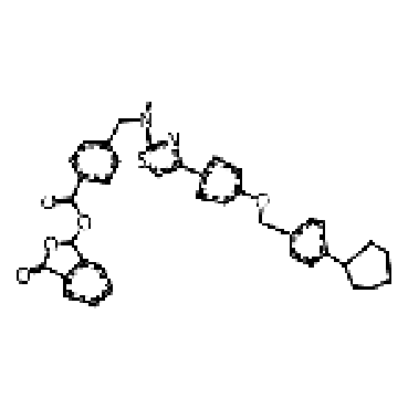 CN(Cc1ccc(C(=O)OC2OC(=O)c3ccccc32)cc1)c1nc(-c2ccc(OCc3ccc(C4CCCCC4)cc3)cc2)cs1